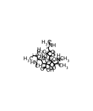 CC[C@@H](C)[C@H](NC)C(=O)CC(O)(C(=O)O)C(=O)C(O)(CC(=O)C(C)(O)C(=O)CNC)C(=O)[C@@H](C)NC